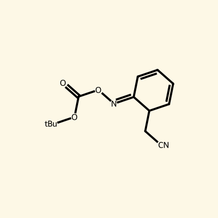 CC(C)(C)OC(=O)ON=C1C=CC=CC1CC#N